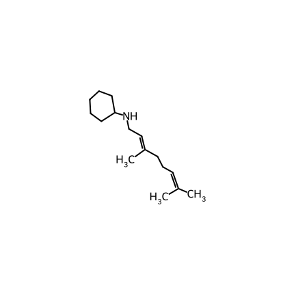 CC(C)=CCC/C(C)=C/CNC1CCCCC1